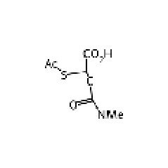 CNC(=O)CC(SC(C)=O)C(=O)O